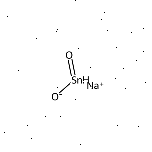 [Na+].[O]=[SnH][O-]